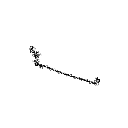 COc1ncc(N2C(=O)NC3(CCN(C(=O)Nc4cccc(-c5cn(CCOCCOCCOCCOCCOCCOCCOCCOCCOCCOCCOCCOCCC(=O)ON6C(=O)CCC6=O)nn5)c4)CC3)C2=O)cn1